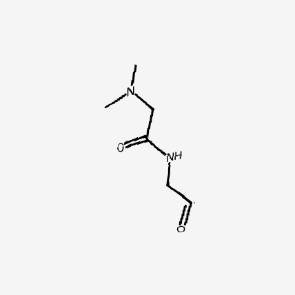 CN(C)CC(=O)NC[C]=O